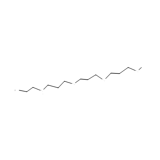 CCNCCCNCCCNCCCNCCC(C)C